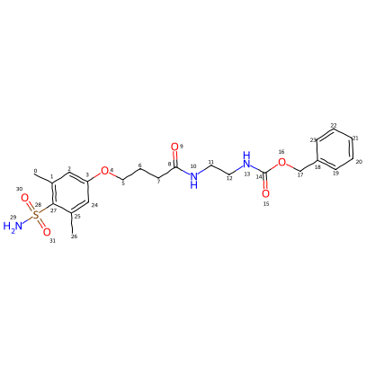 Cc1cc(OCCCC(=O)NCCNC(=O)OCc2ccccc2)cc(C)c1S(N)(=O)=O